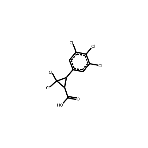 O=C(O)C1C(c2cc(Cl)c(Cl)c(Cl)c2)C1(Cl)Cl